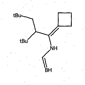 B=CNC(=C1CCC1)C(CC(C)(C)C)C(C)(C)C